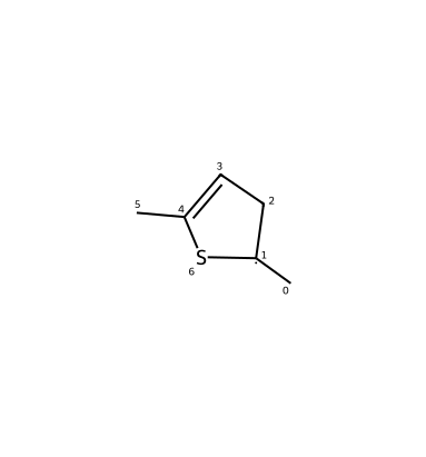 C[C]1CC=C(C)S1